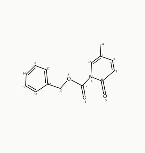 Cc1ccc(=O)n(C(=O)OCc2ccccc2)c1